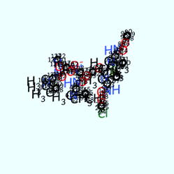 CN(C)C1(Cc2ccccc2F)CCC(NC(=O)COc2ccc(Cl)cc2)CC1.COc1ccc(Oc2ccc([N+](=O)[O-])cc2C(=O)NC2CCC(Cc3cccc(C)c3)(N(C)C)CC2)cc1.Cc1ccccc1CC1(N(C)C)CCC(NC(=O)COc2ccccc2)CC1.Cc1ccccc1CC1(N(C)C)CCC(NC(=O)c2ccccc2Oc2ccccc2)CC1